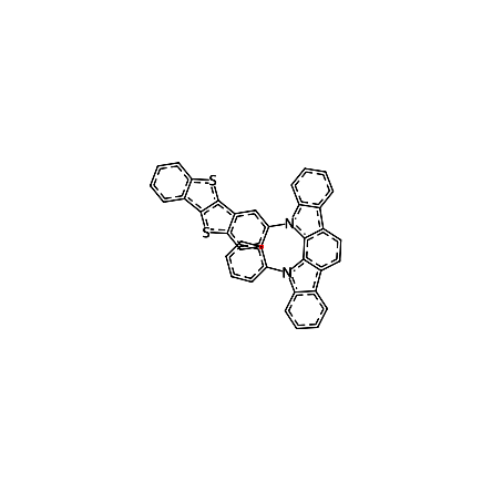 c1ccc(-n2c3ccccc3c3ccc4c5ccccc5n(-c5ccc6sc7c8ccccc8sc7c6c5)c4c32)cc1